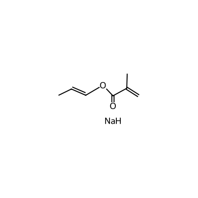 C=C(C)C(=O)OC=CC.[NaH]